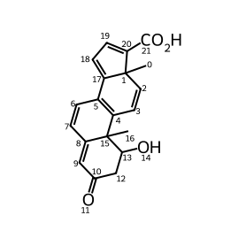 CC12C=CC3=C(C=CC4=CC(=O)CC(O)C43C)C1=CC=C2C(=O)O